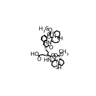 COC(=O)[C@@H]1CCC[C@@H]2SCC[C@H](NC(=O)[C@@H](CCC(=O)O)CC[C@H](Cc3ccccc3)C(=O)N[C@H]3CCS[C@H]4CCC[C@@H](C(=O)OC)N4C3=O)C(=O)N21